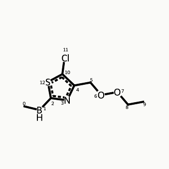 CBc1nc(COOCC)c(Cl)s1